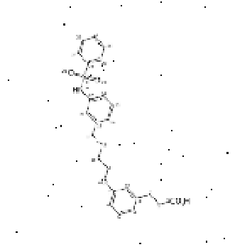 O=C(O)CCc1cccc(OCCCCc2cccc(NS(=O)(=O)c3ccccc3)c2)c1